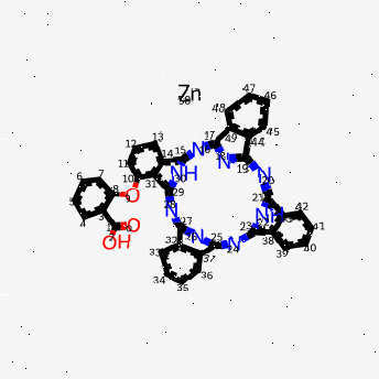 O=C(O)c1ccccc1Oc1cccc2c3nc4nc(nc5[nH]c(nc6nc(nc([nH]3)c12)-c1ccccc1-6)c1ccccc51)-c1ccccc1-4.[Zn]